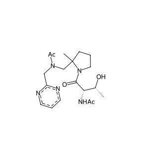 CC(=O)N[C@H](C(=O)N1CCCC1(C)CN(Cc1ncccn1)C(C)=O)[C@@H](C)O